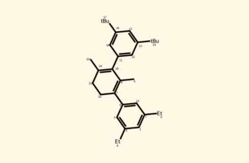 CCc1cc(CC)cc(C2=C(C)C(c3cc(C(C)(C)C)cc(C(C)(C)C)c3)=C(C)C[CH]2)c1